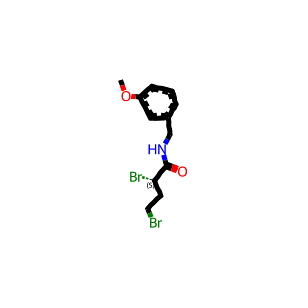 COc1cccc(CNC(=O)[C@@H](Br)CCBr)c1